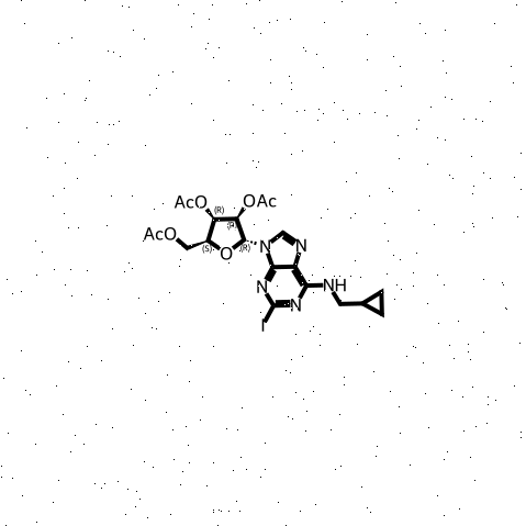 CC(=O)OC[C@@H]1O[C@@H](n2cnc3c(NCC4CC4)nc(I)nc32)[C@H](OC(C)=O)[C@@H]1OC(C)=O